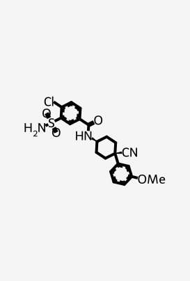 COc1cccc([C@]2(C#N)CC[C@@H](NC(=O)c3ccc(Cl)c(S(N)(=O)=O)c3)CC2)c1